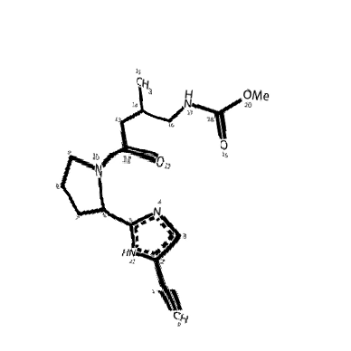 C#Cc1cnc(C2CCCN2C(=O)CC(C)CNC(=O)OC)[nH]1